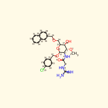 CO[C@@H]1C(NC(=O)CNC(=N)N)C(OCc2ccc(Cl)cc2)OC(COCc2ccc3ccccc3c2)[C@H]1O